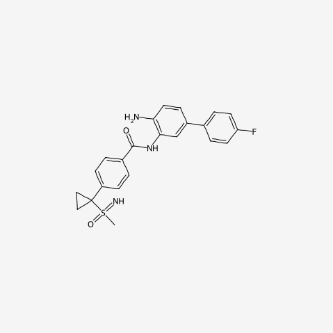 CS(=N)(=O)C1(c2ccc(C(=O)Nc3cc(-c4ccc(F)cc4)ccc3N)cc2)CC1